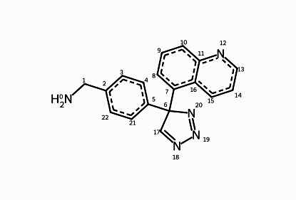 NCc1ccc(C2(c3cccc4ncccc34)C=NN=N2)cc1